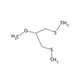 COC(CSC)CSC